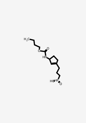 CCCCOC(=O)NC1C=C(CCC[PH](=O)O)CC1